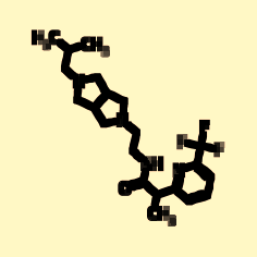 CC(C)CN1CC2CN(CCNC(=O)C(C)c3cccc(C(F)(F)F)n3)CC2C1